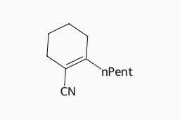 CCCCCC1=C(C#N)CCCC1